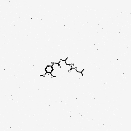 COc1ccc(NC(=O)OC(C)CNC(=O)OCC(C)C)cc1OC